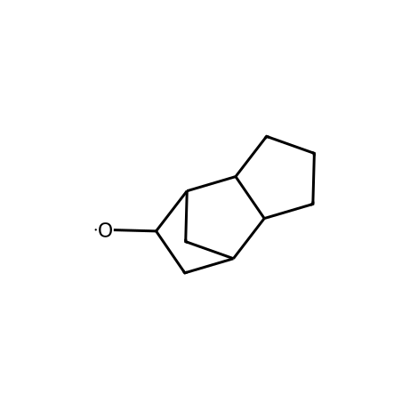 [O]C1CC2CC1C1CCCC21